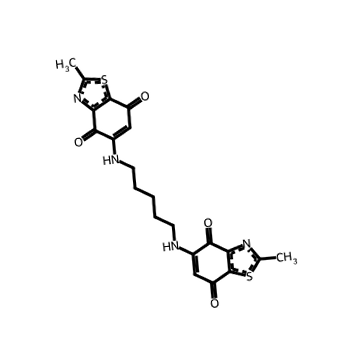 Cc1nc2c(s1)C(=O)C=C(NCCCCCNC1=CC(=O)c3sc(C)nc3C1=O)C2=O